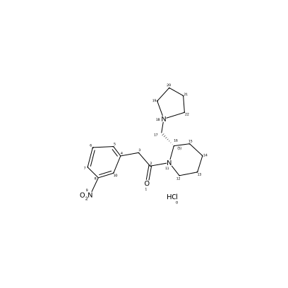 Cl.O=C(Cc1cccc([N+](=O)[O-])c1)N1CCCC[C@H]1CN1CCCC1